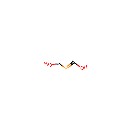 O[CH]P=CO